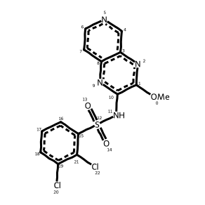 COc1nc2cnccc2nc1NS(=O)(=O)c1cccc(Cl)c1Cl